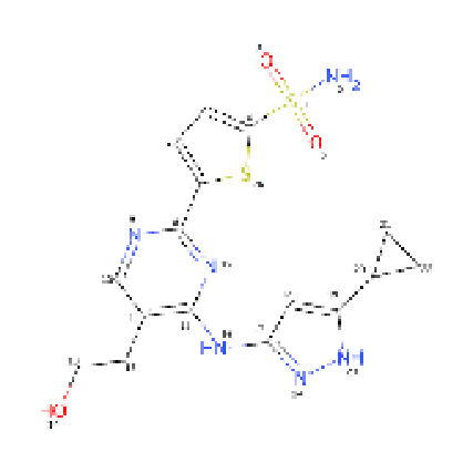 NS(=O)(=O)c1ccc(-c2ncc(CCO)c(Nc3cc(C4CC4)[nH]n3)n2)s1